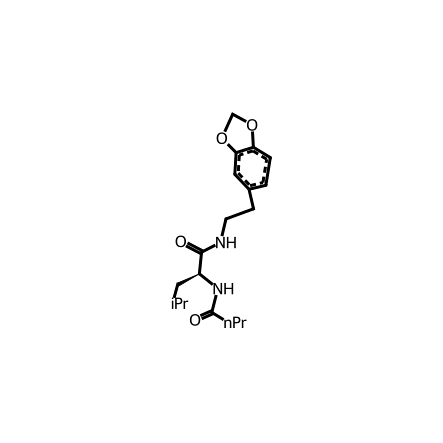 CCCC(=O)N[C@@H](CC(C)C)C(=O)NCCc1ccc2c(c1)OCO2